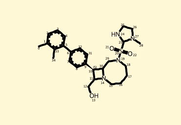 Cc1cccc(-c2ccc([C@@H]3C(CO)N4CCCCN(S(=O)(=O)C5NCCN5C)CC34)cc2)c1C